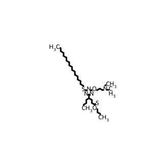 CCCCCCCCCCCCCCCCCCSc1nc(OCCCN(CC)CC)nc(C(CCCC)CCC(=S)OCCCC)n1